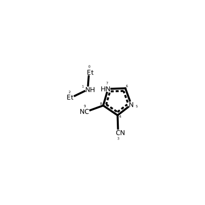 CCNCC.N#Cc1nc[nH]c1C#N